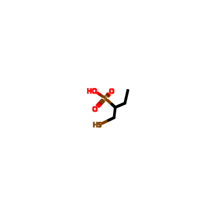 CCC(CS)S(=O)(=O)O